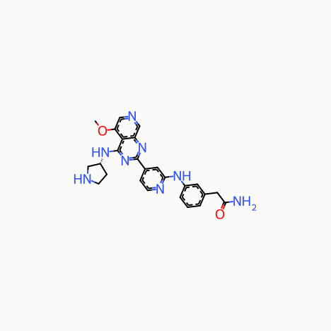 COc1cncc2nc(-c3ccnc(Nc4cccc(CC(N)=O)c4)c3)nc(N[C@@H]3CCNC3)c12